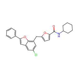 O=C(NC1CCCCC1)c1ccc(Cc2cc(Cl)cc3cc(-c4ccccc4)oc23)o1